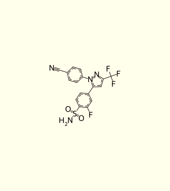 N#Cc1ccc(-n2nc(C(F)(F)F)cc2-c2ccc(S(N)(=O)=O)c(F)c2)cc1